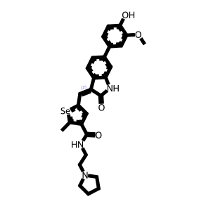 COc1cc(-c2ccc3c(c2)NC(=O)/C3=C\c2cc(C(=O)NCCN3CCCC3)c(C)[se]2)ccc1O